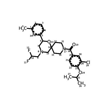 Cc1cccc(C2CN(CC(F)F)CC3(CCN(C(=O)c4ccc(OC(C)C)c(Cl)c4)CC3)O2)n1